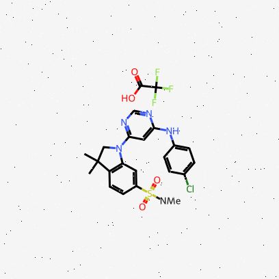 CNS(=O)(=O)c1ccc2c(c1)N(c1cc(Nc3ccc(Cl)cc3)ncn1)CC2(C)C.O=C(O)C(F)(F)F